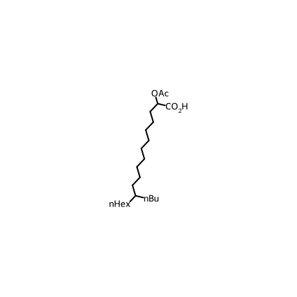 CCCCCCC(CCCC)CCCCCCCCCC(OC(C)=O)C(=O)O